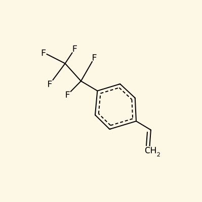 C=Cc1ccc(C(F)(F)C(F)(F)F)cc1